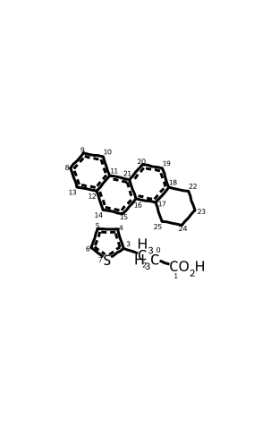 CC(=O)O.Cc1cccs1.c1ccc2c(c1)ccc1c3c(ccc12)CCCC3